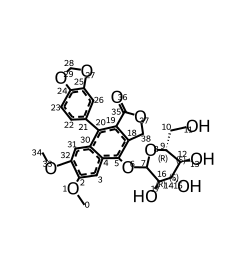 COc1cc2c(OC3O[C@H](CO)[C@@H](O)[C@H](O)[C@H]3O)c3c(c(-c4ccc5c(c4)OCO5)c2cc1OC)C(=O)OC3